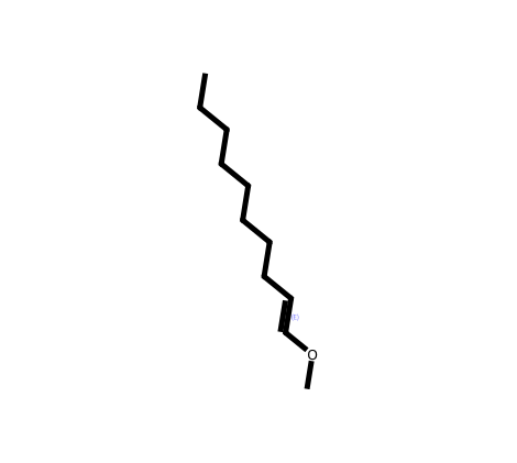 CCCCCCCC/C=C/OC